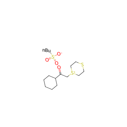 CCCCS(=O)(=O)[O-].O=C(C[S+]1CCSCC1)C1CCCCC1